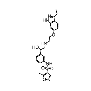 CCc1n[nH]c2cc(OCCNCC(O)c3cccc(NS(=O)(=O)c4cnoc4C)c3)ccc12